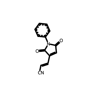 N#CC=CC1=CC(=O)N(c2ccccc2)C1=O